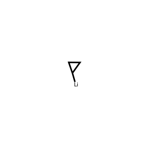 [Li][CH]1CC1